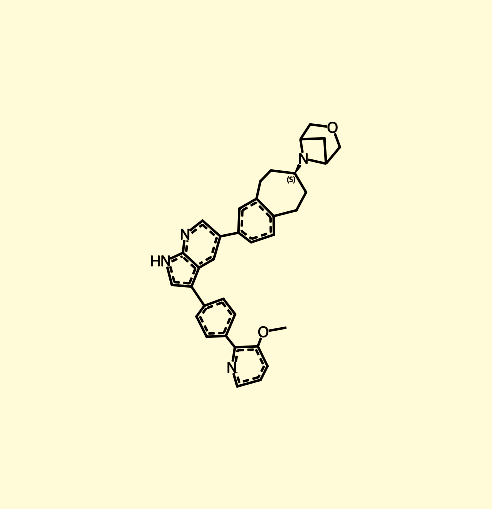 COc1cccnc1-c1ccc(-c2c[nH]c3ncc(-c4ccc5c(c4)CC[C@@H](N4C6COCC4C6)CC5)cc23)cc1